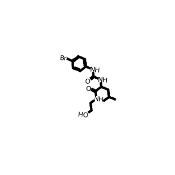 CC(C)CC(NC(=O)Nc1ccc(Br)cc1)C(=O)NCCO